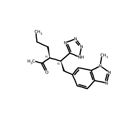 CCC[C@H](C(C)=O)[C@H](Cc1ccc2nnn(C)c2c1)c1nnn[nH]1